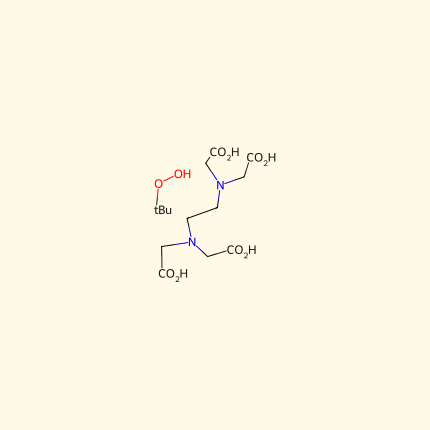 CC(C)(C)OO.O=C(O)CN(CCN(CC(=O)O)CC(=O)O)CC(=O)O